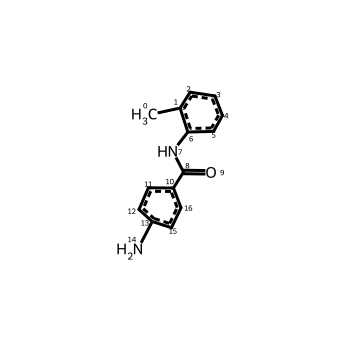 Cc1ccccc1NC(=O)c1ccc(N)cc1